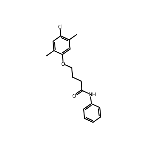 Cc1cc(OCCCC(=O)Nc2ccccc2)c(C)cc1Cl